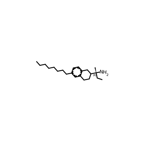 CCCCCCCCc1ccc2c(c1)CCC([C@](C)(N)CC)C2